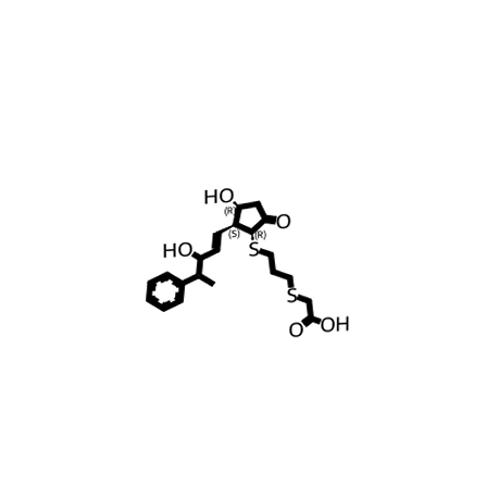 CC(c1ccccc1)C(O)C=C[C@H]1[C@H](O)CC(=O)[C@@H]1SCCCSCC(=O)O